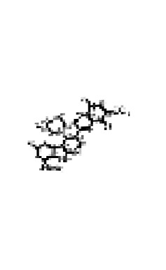 CNc1cc(F)cc2c1[nH]c1ncc(-c3cnc4c(c3)c(=O)c(C(=O)O)cn4C)c(N3CCO[C@H](C)C3)c12